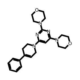 C1=C(c2ccccc2)CCN(c2cc(N3CCOCC3)nc(N3CCOCC3)n2)C1